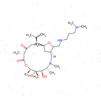 C=C(C)[C@@H]1CC(=O)[C@@H](C)C(=O)O[C@H](CC)[C@@](C)(O)[C@H](O)[C@@H](C)N(C)C[C@H]2C[C@@]1(C)OC2CNCCCN(C)C